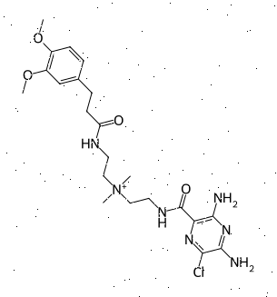 COc1ccc(CCC(=O)NCC[N+](C)(C)CCNC(=O)c2nc(Cl)c(N)nc2N)cc1OC